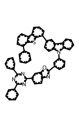 c1ccc(-c2nc(-c3ccccc3)nc(-c3ccc4nc(-c5cccc(-n6c7ccccc7c7cc(-c8cccc9c8sc8c(-c%10ccccc%10)cccc89)ccc76)c5)oc4c3)n2)cc1